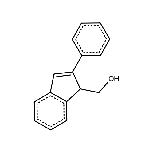 OCC1C(c2ccccc2)=Cc2ccccc21